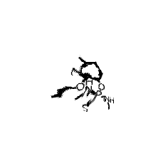 CCCOc1nc(C)ccc1OP(=S)(NC)NC